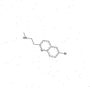 CNCCc1ccc2cc(Br)ccc2n1